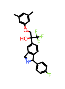 Cc1cc(C)cc(OCC(O)(c2ccc3c(c2)C=NC3c2ccc(F)cc2)C(F)(F)F)c1